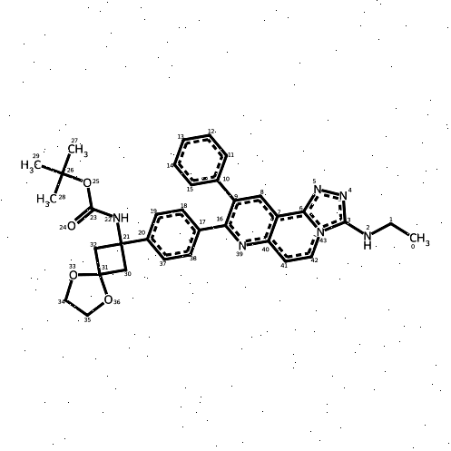 CCNc1nnc2c3cc(-c4ccccc4)c(-c4ccc(C5(NC(=O)OC(C)(C)C)CC6(C5)OCCO6)cc4)nc3ccn12